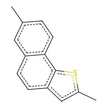 Cc1ccc2c(ccc3cc(C)sc32)c1